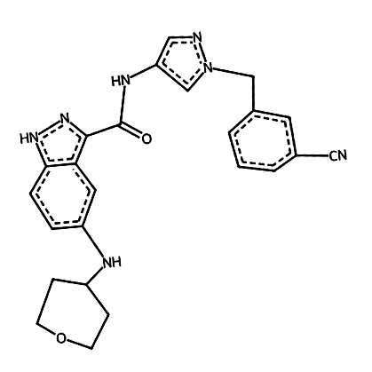 N#Cc1cccc(Cn2cc(NC(=O)c3n[nH]c4ccc(NC5CCOCC5)cc34)cn2)c1